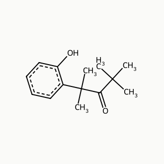 CC(C)(C)C(=O)C(C)(C)c1ccccc1O